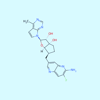 Cc1ncnc2c1ccn2[C@@H]1O[C@@H]2[C@H](Cc3cnc4cc(F)c(N)nc4c3)CC[C@]2(O)[C@H]1O